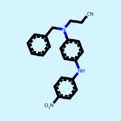 N#CCCN(Cc1ccccc1)c1ccc(Nc2ccc([N+](=O)[O-])cc2)cc1